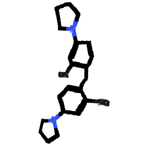 O=NC1=CC(N2CCCC2)CC=C1Cc1ccc(N2CCCC2)cc1N=O